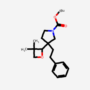 CC(C)(C)OC(=O)N1CCC(CCc2ccccc2)(C2OCC2(C)C)C1